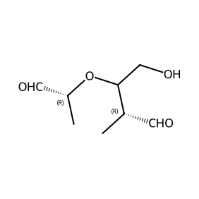 C[C@H](C=O)OC(CO)[C@@H](C)C=O